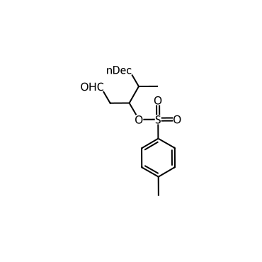 CCCCCCCCCCC(C)C(CC=O)OS(=O)(=O)c1ccc(C)cc1